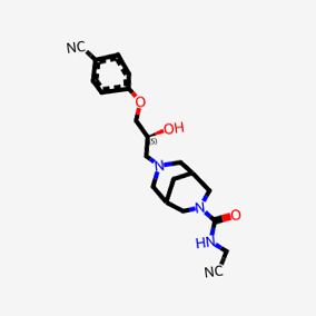 N#CCNC(=O)N1CC2CC(CN(C[C@H](O)COc3ccc(C#N)cc3)C2)C1